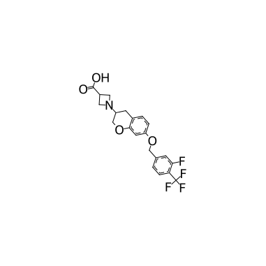 O=C(O)C1CN(C2COc3cc(OCc4ccc(C(F)(F)F)c(F)c4)ccc3C2)C1